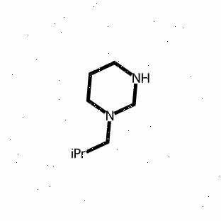 CC(C)CN1CCCNC1